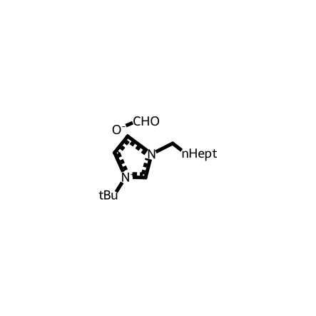 CCCCCCCCn1cc[n+](C(C)(C)C)c1.O=C[O-]